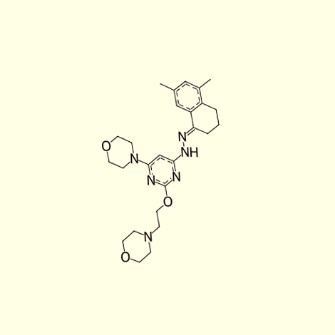 Cc1cc(C)c2c(c1)/C(=N/Nc1cc(N3CCOCC3)nc(OCCN3CCOCC3)n1)CCC2